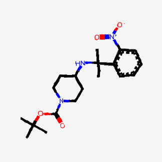 CC(C)(C)OC(=O)N1CCC(NC(C)(C)c2ccccc2[N+](=O)[O-])CC1